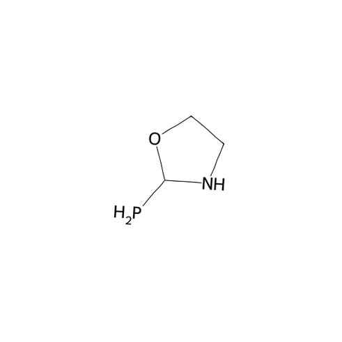 PC1NCCO1